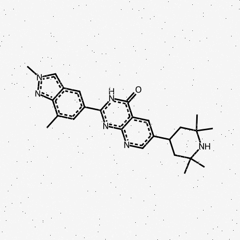 Cc1cc(-c2nc3ncc(C4CC(C)(C)NC(C)(C)C4)cc3c(=O)[nH]2)cc2cn(C)nc12